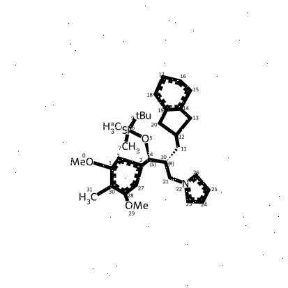 COc1cc([C@@H](O[Si](C)(C)C(C)(C)C)[C@H](CC2Cc3ccccc3C2)Cn2c[c]cc2)cc(OC)c1C